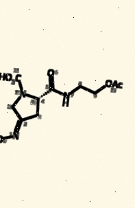 CON=C1C[C@@H](C(=O)NCCOC(C)=O)N(C(=O)O)C1